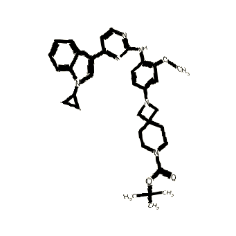 COc1cc(N2CC3(CCN(C(=O)OC(C)(C)C)CC3)C2)ccc1Nc1nccc(-c2cn(C3CC3)c3ccccc23)n1